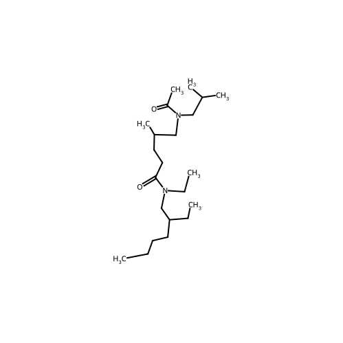 CCCCC(CC)CN(CC)C(=O)CCC(C)CN(CC(C)C)C(C)=O